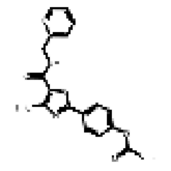 CC(=O)Oc1ccc(-c2nc(C)c(C(=O)NCc3ccccn3)s2)cc1